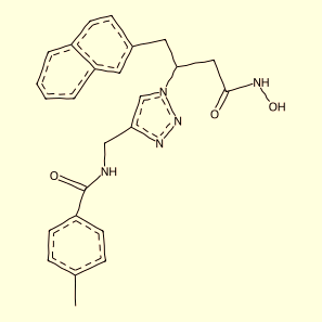 Cc1ccc(C(=O)NCc2cn(C(CC(=O)NO)Cc3ccc4ccccc4c3)nn2)cc1